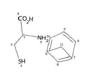 NC(CS)C(=O)O.c1cc2cc(c1)C2